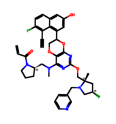 C#Cc1c(F)ccc2cc(O)cc(C3COc4c(nc(OC[C@]5(C)C[C@@H](F)CN5Cc5cccnc5)nc4N(C)C[C@@H]4CCCN4C(=O)C=C)O3)c12